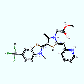 C=C1/C(=C2\Sc3cc(C(F)(F)F)ccc3N2C)S/C(=C\c2ccccn2)N1CC(=O)OC